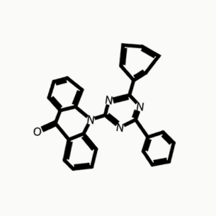 O=c1c2ccccc2n(-c2nc(-c3ccccc3)nc(-c3ccccc3)n2)c2ccccc12